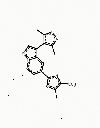 Cc1noc(C)c1-c1cnn2ccc(-c3nc(C(=O)O)c(C)o3)cc12